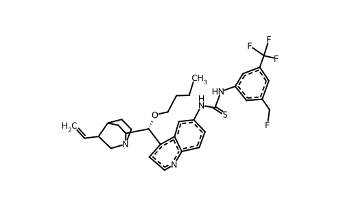 C=CC1CN2CCC1CC2[C@H](OCCCC)c1ccnc2ccc(NC(=S)Nc3cc(CF)cc(C(F)(F)F)c3)cc12